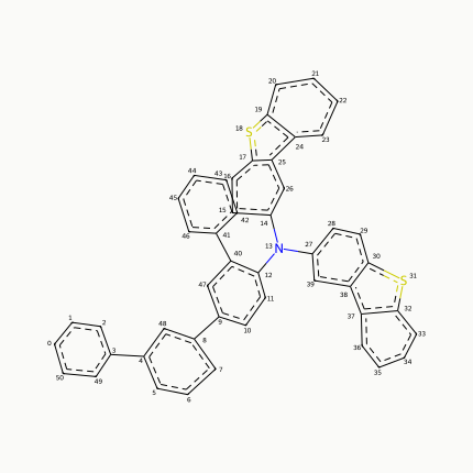 c1ccc(-c2cccc(-c3ccc(N(c4ccc5sc6ccccc6c5c4)c4ccc5sc6ccccc6c5c4)c(-c4ccccc4)c3)c2)cc1